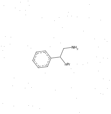 C[CH]CC(CN)c1ccccc1